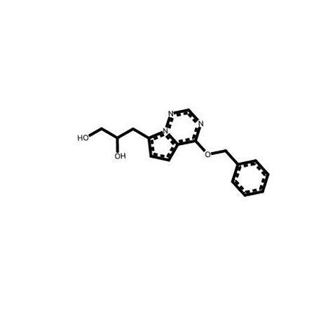 OCC(O)Cc1ccc2c(OCc3ccccc3)ncnn12